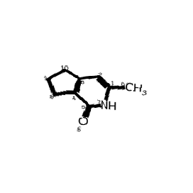 Cc1cc2c(c(=O)[nH]1)CCC2